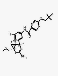 COC[C@]12C[C@H]1[C@@](C)(c1cc(NC(=O)c3cnc(OCC(C)(C)C)cn3)cc(F)c1F)N=C(N)S2